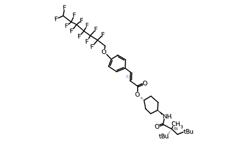 CC(C)(C)C[C@](C)(C(=O)N[C@H]1CC[C@H](OC(=O)/C=C/c2ccc(OCC(F)(F)C(F)(F)C(F)(F)C(F)(F)C(F)(F)C(F)F)cc2)CC1)C(C)(C)C